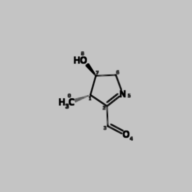 C[C@H]1C(C=O)=NC[C@@H]1O